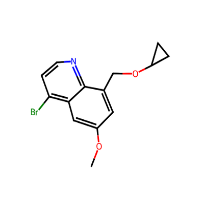 COc1cc(COC2CC2)c2nccc(Br)c2c1